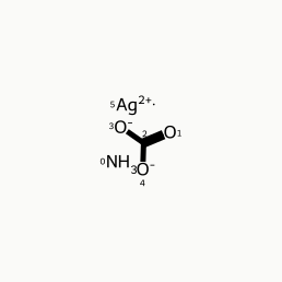 N.O=C([O-])[O-].[Ag+2]